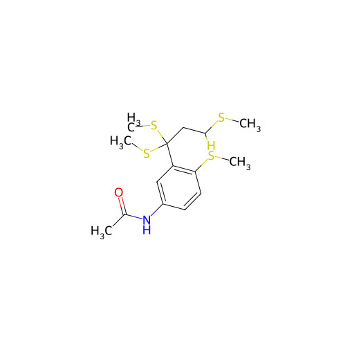 CSC1CC(SC)(SC)c2cc(NC(C)=O)ccc2[SH]1C